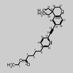 CCOC(=O)CCCCc1ccc(C#Cc2ccc3c(c2)C(CC)(CC)CCO3)nc1